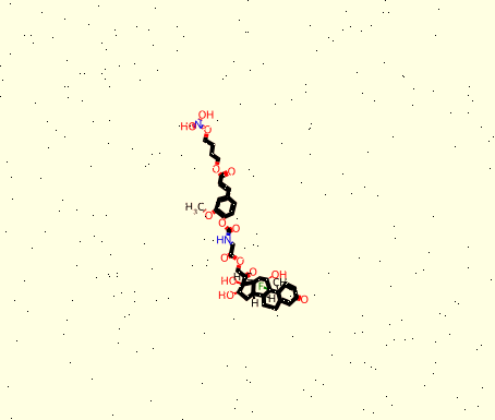 COc1cc(/C=C/C(=O)OCCCCON(O)O)ccc1OC(=O)NCC(=O)OCC(=O)[C@@]1(O)[C@H](O)C[C@H]2[C@@H]3CCC4=CC(=O)C=C[C@]4(C)[C@@]3(F)[C@@H](O)C[C@@]21C